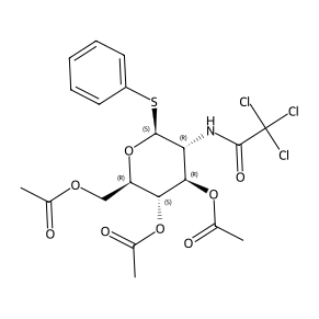 CC(=O)OC[C@H]1O[C@@H](Sc2ccccc2)[C@H](NC(=O)C(Cl)(Cl)Cl)[C@@H](OC(C)=O)[C@@H]1OC(C)=O